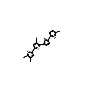 Cc1ccc(-c2ccc(-c3sc(-c4cc(C)c(C)s4)cc3C)s2)s1